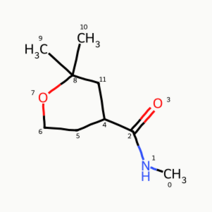 CNC(=O)C1CCOC(C)(C)C1